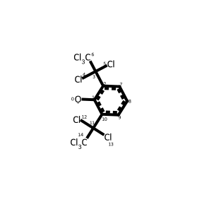 [O]c1c(C(Cl)(Cl)C(Cl)(Cl)Cl)cccc1C(Cl)(Cl)C(Cl)(Cl)Cl